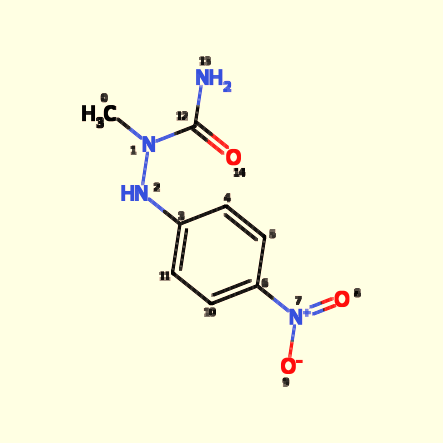 CN(Nc1ccc([N+](=O)[O-])cc1)C(N)=O